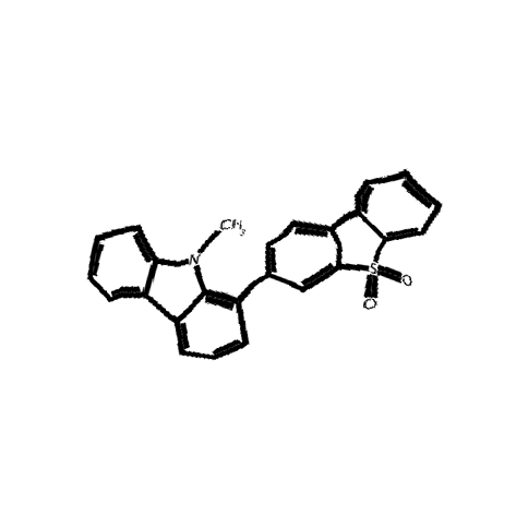 Cn1c2ccccc2c2cccc(-c3ccc4c(c3)S(=O)(=O)c3ccccc3-4)c21